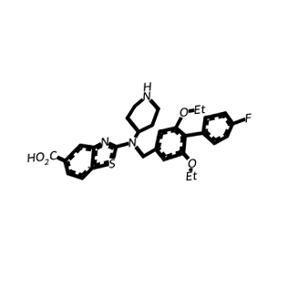 CCOc1cc(CN(c2nc3cc(C(=O)O)ccc3s2)C2CCNCC2)cc(OCC)c1-c1ccc(F)cc1